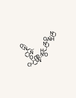 Cc1cc(N2CCOCC2)c2cccc(OCc3c(Cl)ccc(N(C)C(=O)CNC(=O)/C=C/c4ccc(C(=O)NCc5ccccn5)nc4)c3Cl)c2n1